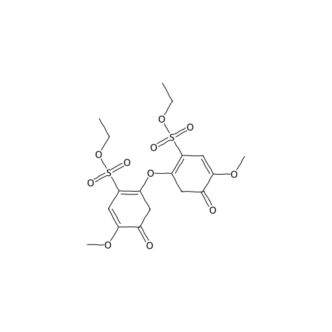 CCOS(=O)(=O)C1=C(OC2=C(S(=O)(=O)OCC)C=C(OC)C(=O)C2)CC(=O)C(OC)=C1